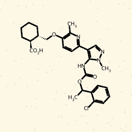 Cc1nc(-c2cnn(C)c2NC(=O)OC(C)c2ccccc2Cl)ccc1OC[C@H]1CCCC[C@@H]1C(=O)O